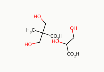 CC(CO)(CO)C(=O)O.O=C(O)C(O)CO